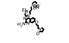 CCOCc1nc2c(N)nc3cc(OCCC[N+]4=CC=CC4=O)ccc3c2n1CCCCN1CCCS1([O-])O